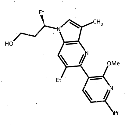 CCc1cc2c(nc1-c1ccc(C(C)C)nc1OC)c(C)cn2[C@H](CC)CCO